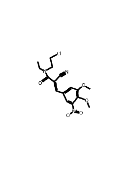 CCN(CCCl)C(=O)/C(C#N)=C/c1cc(OC)c(OC)c([N+](=O)[O-])c1